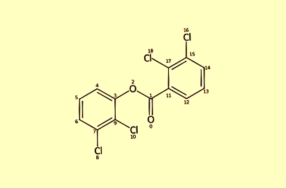 O=C(Oc1cccc(Cl)c1Cl)c1cccc(Cl)c1Cl